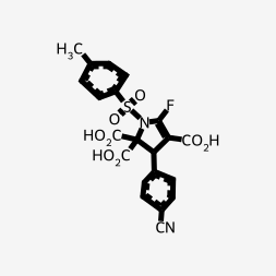 Cc1ccc(S(=O)(=O)N2C(F)=C(C(=O)O)C(c3ccc(C#N)cc3)C2(C(=O)O)C(=O)O)cc1